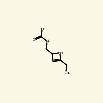 CCC1=CC(CNC(C)=O)N1